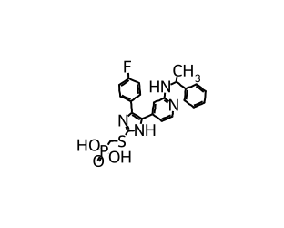 CC(Nc1cc(-c2[nH]c(SCP(=O)(O)O)nc2-c2ccc(F)cc2)ccn1)c1ccccc1